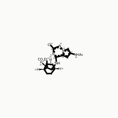 CCOC(=O)[C@H]1[C@H]2CC[C@H](CC2)[C@@H]1Nc1nc(Cl)nn2cc(NC(C)=O)cc12